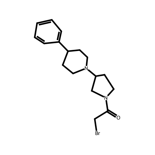 O=C(CBr)N1CCC(N2CCC(c3ccccc3)CC2)C1